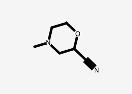 CN1C[CH]OC(C#N)C1